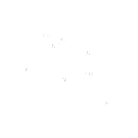 Cc1noc(C)c1-c1c(/C=N/O)c2c(F)cccc2n1-c1ccc(O)cc1